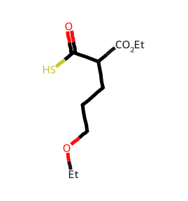 CCOCCCC(C(=O)S)C(=O)OCC